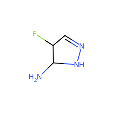 NC1NN=CC1F